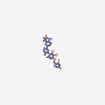 Cc1cnc(-c2ccc3c(n2)C(C)(C)C(=O)N3)cc1-n1c(C)cc(OCc2ncc(F)cc2F)c(Cl)c1=O